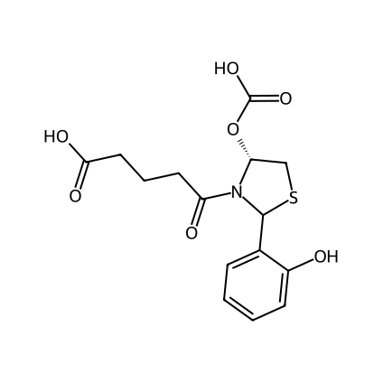 O=C(O)CCCC(=O)N1C(c2ccccc2O)SC[C@H]1OC(=O)O